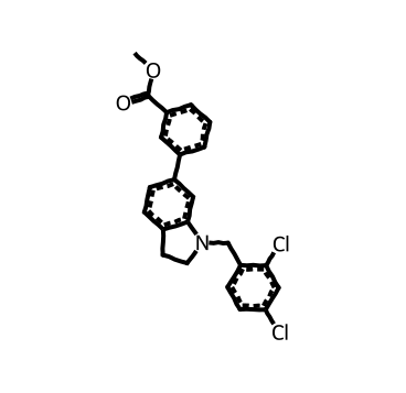 COC(=O)c1cccc(-c2ccc3c(c2)N(Cc2ccc(Cl)cc2Cl)CC3)c1